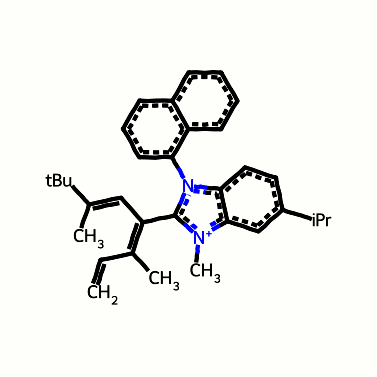 C=C/C(C)=C(\C=C(/C)C(C)(C)C)c1n(-c2cccc3ccccc23)c2ccc(C(C)C)cc2[n+]1C